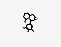 O=C1CCCC2CC3OC3C(c3cc(F)c(F)c(F)c3)N12